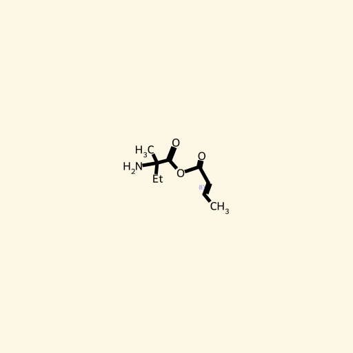 C/C=C/C(=O)OC(=O)C(C)(N)CC